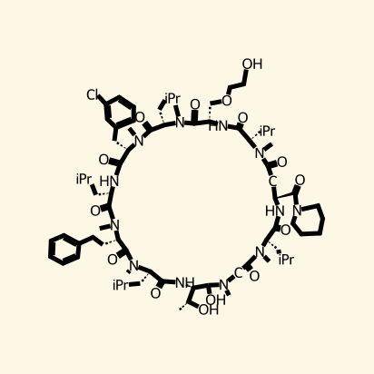 CC(C)C[C@@H]1NC(=O)[C@H](Cc2cccc(Cl)c2)N(C)C(=O)[C@H](CC(C)C)N(C)C(=O)[C@H](COCCO)NC(=O)[C@H](C(C)C)N(C)C(=O)C[C@@H](C(=O)N2CCCCC2)NC(=O)[C@H](CC(C)C)N(C)C(=O)CN(C)C(O)[C@H]([C@@H](C)O)NC(=O)[C@H](CC(C)C)N(C)C(=O)[C@H](CCc2ccccc2)N(C)C1=O